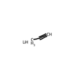 C#CC.[LiH]